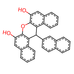 Oc1cc2ccccc2c2c1Oc1c(O)cc3ccccc3c1C2c1ccc2ccccc2c1